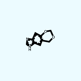 c1nc2cc3c(cc2[nH]1)COCO3